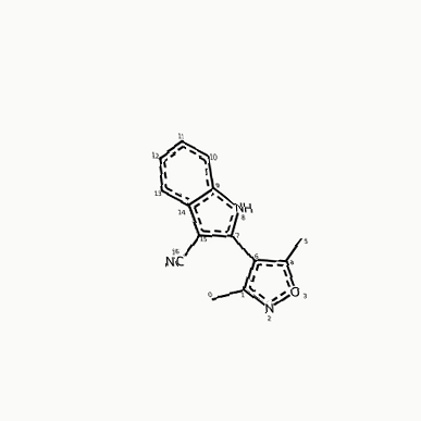 Cc1noc(C)c1-c1[nH]c2ccccc2c1C#N